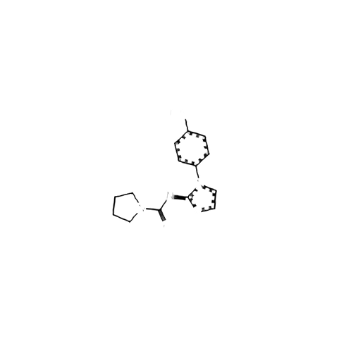 CCCc1ccc(-n2ccsc2=NC(=O)N2CCCC2)cc1